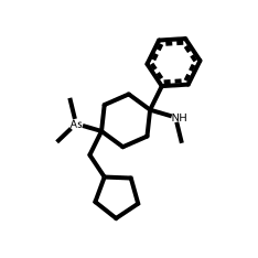 CNC1(c2ccccc2)CCC(CC2CCCC2)([As](C)C)CC1